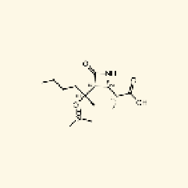 CCCC[C@@](C)(O[SiH](C)C)[C@H]1C(=O)N[C@@H]1[C@@H](C)C(=O)O